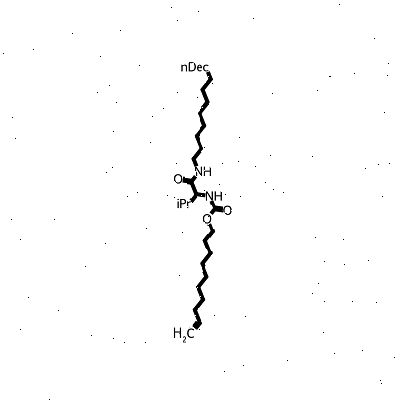 C=CCCCCCCCCOC(=O)NC(C(=O)NCCCCCCCCCCCCCCCCCC)C(C)C